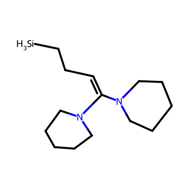 [SiH3]CCC=C(N1CCCCC1)N1CCCCC1